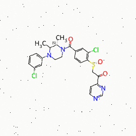 CC1[C@H](C)N(C(=O)c2ccc([S+]([O-])CC(=O)c3ccncn3)c(Cl)c2)CCN1c1cccc(Cl)c1